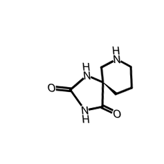 O=C1NC(=O)[C@]2(CCCNC2)N1